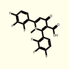 Cn1c(-c2ccc(F)c(F)c2F)cc(=O)c(C(=O)O)c1-c1ccc(F)c(F)c1F